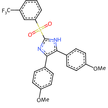 COc1ccc(-c2nc(S(=O)(=O)c3cccc(C(F)(F)F)c3)[nH]c2-c2ccc(OC)cc2)cc1